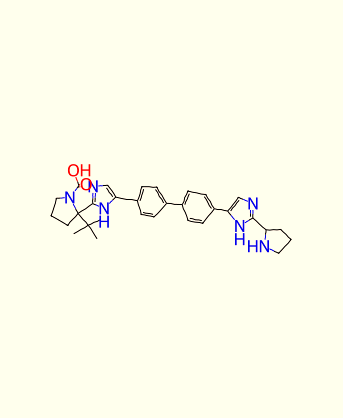 CC(C)(C)C1(c2ncc(-c3ccc(-c4ccc(-c5cnc(C6CCCN6)[nH]5)cc4)cc3)[nH]2)CCCN1C(=O)O